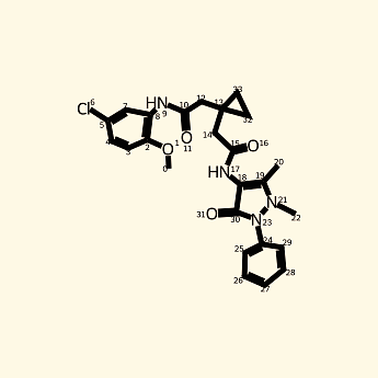 COc1ccc(Cl)cc1NC(=O)CC1(CC(=O)Nc2c(C)n(C)n(-c3ccccc3)c2=O)CC1